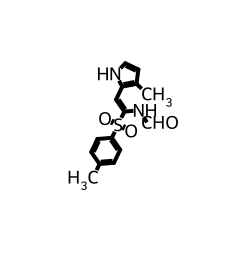 Cc1ccc(S(=O)(=O)C(=Cc2[nH]ccc2C)NC=O)cc1